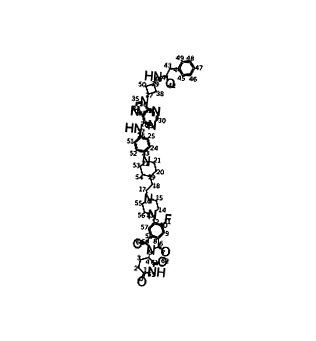 O=C1CC[C@H](N2C(=O)c3cc(F)c(N4CCN(CCC5CCN(c6ccc(Nc7ncnc8c7ncn8C7CC(NC(=O)Cc8ccccc8)C7)cc6)CC5)CC4)cc3C2=O)C(=O)N1